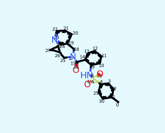 Cc1ccc(S(=O)(=O)Nc2ccccc2C(=O)N(Cc2cccnc2)CC2CC2)cc1